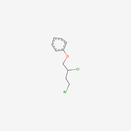 ClC(CCBr)COc1ccccc1